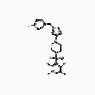 Cc1ccc(Cc2csc(N3CCC(S(=O)(=O)c4c(C)c(C)cc(C)c4C)CC3)n2)cc1